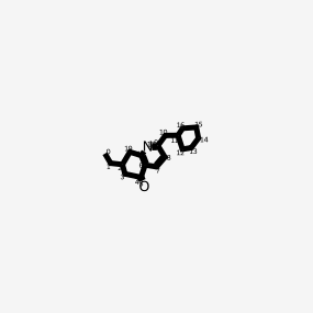 CCC1CC(=O)c2ccc(CC3CCCCC3)nc2C1